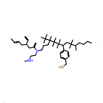 C=CC(C/C=C/C)CC(=C)N(CCCC(C)(C(C)(C)C)C(C)(C)C(C)(C)C(CC(C)(C)C(C)CCCC)c1ccc(CS)cc1)CCNC